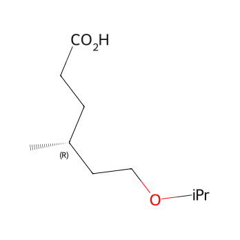 CC(C)OCC[C@H](C)CCC(=O)O